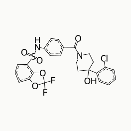 O=C(c1ccc(NS(=O)(=O)c2cccc3c2OC(F)(F)O3)cc1)N1CCC(O)(c2ccccc2Cl)CC1